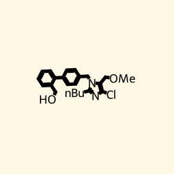 CCCCc1nc(Cl)c(COC)n1Cc1ccc(-c2ccccc2CO)cc1